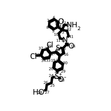 NC(=O)C1(c2ccccc2)CCN(C(=O)c2cc(-c3ccc([S+]([O-])CCCCO)cc3)c(-c3ccc(Cl)cc3Cl)s2)CC1